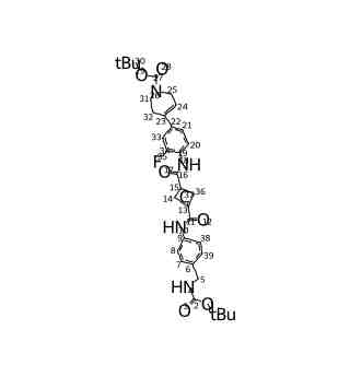 CC(C)(C)OC(=O)NCc1ccc(NC(=O)C23CC(C(=O)Nc4ccc(C5=CCN(C(=O)OC(C)(C)C)CC5)cc4F)(C2)C3)cc1